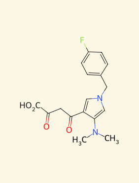 CN(C)c1cn(Cc2ccc(F)cc2)cc1C(=O)CC(=O)C(=O)O